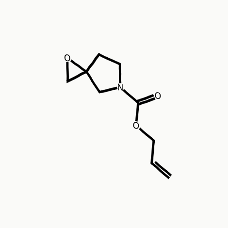 C=CCOC(=O)N1CCC2(CO2)C1